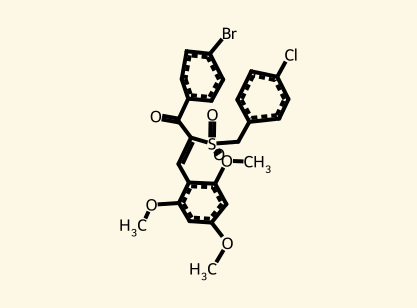 COc1cc(OC)c(/C=C(/C(=O)c2ccc(Br)cc2)S(=O)(=O)Cc2ccc(Cl)cc2)c(OC)c1